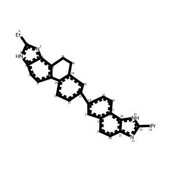 CCc1nc2c3c(ccc2[nH]1)-c1ccc(-c2ccc4c(ccc5nc(C(C)C)[nH]c54)c2)cc1CC3